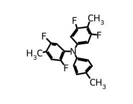 Cc1ccc(N(c2cc(F)c(C)c(F)c2)c2cc(F)c(C)cc2F)cc1